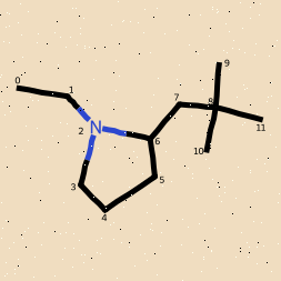 CCN1CCCC1CC(C)(C)C